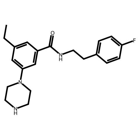 CCc1cc(C(=O)NCCc2ccc(F)cc2)cc(N2CCNCC2)c1